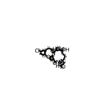 O=C1NS(=O)(=O)N(CC2CCO2)CC/C=C/C(O)[C@@H]2CC[C@H]2CN2CCCCc3cc(Cl)ccc3COc3ccc1cc32